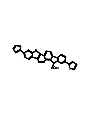 CCCCCCCCC1c2cc(-c3cccs3)ccc2-c2ccc3c(ccc4c5ccc(-c6cccs6)cc5sc34)c21